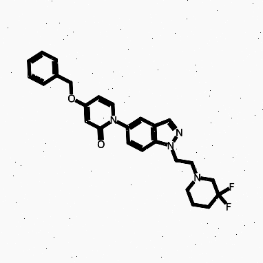 O=c1cc(OCc2ccccc2)ccn1-c1ccc2c(cnn2CCN2CCCC(F)(F)C2)c1